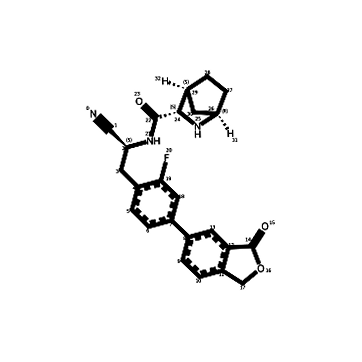 N#C[C@H](Cc1ccc(-c2ccc3c(c2)C(=O)OC3)cc1F)NC(=O)[C@H]1N[C@@H]2CC[C@H]1C2